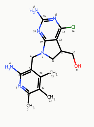 Cc1nc(N)c(CN2CC(CO)c3c(Cl)nc(N)nc32)c(C)c1C